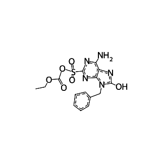 CCOC(=O)OS(=O)(=O)c1nc(N)c2nc(O)n(Cc3ccccc3)c2n1